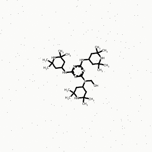 CC1(C)CC(Nc2nc(NC3CC(C)(C)NC(C)(C)C3)nc(N(CO)C3CC(C)(C)NC(C)(C)C3)n2)CC(C)(C)N1